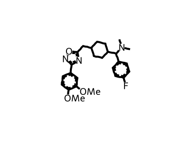 COc1ccc(-c2noc(CC3CCC(C(c4ccc(F)cc4)N(C)C)CC3)n2)cc1OC